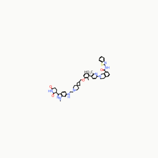 Cc1c(OCC2CC3(CCN(CCNc4ccc5c(C6CCC(=O)NC6=O)nn(C)c5c4)CC3)C2)cccc1-c1ccc(N2CCc3cccc(C(=O)Nc4nc5ccccc5s4)c3C2)nc1C(=O)O